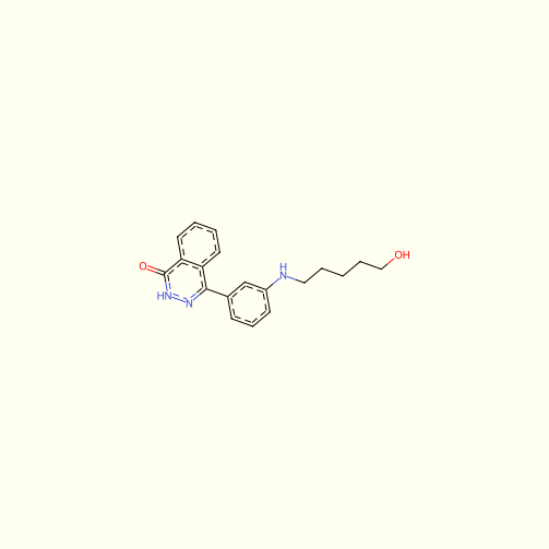 O=c1[nH]nc(-c2cccc(NCCCCCO)c2)c2ccccc12